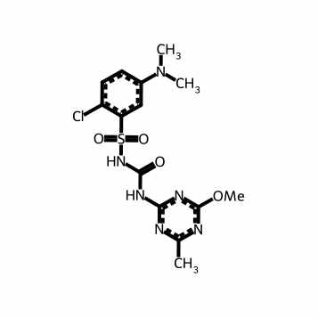 COc1nc(C)nc(NC(=O)NS(=O)(=O)c2cc(N(C)C)ccc2Cl)n1